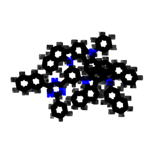 c1ccc(-c2nc(-c3cc(-n4c5ccc6c7ccc8ccccc8c7n(-c7ccc8ccccc8c7)c6c5c5ccc6ccccc6c54)cc(-n4c5c6ccccc6ccc5c5ccc6c(c7ccc8ccccc8c7n6-c6ccccc6)c54)c3)nc(-c3ccc4ccccc4c3)n2)cc1